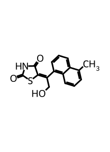 Cc1cccc2c(/C(CO)=C3/SC(=O)NC3=O)cccc12